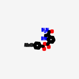 COc1ccc(C(=O)OC(=O)c2cccc3c(C(N)=O)c[nH]c23)cc1